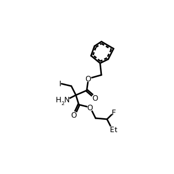 CCC(F)COC(=O)C(N)(CI)C(=O)OCc1ccccc1